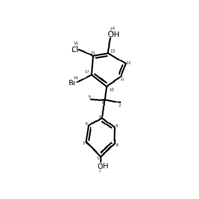 CC(C)(c1ccc(O)cc1)c1ccc(O)c(Cl)c1Br